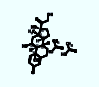 CC(=O)O.CC(=O)O.C[C@]12C=CC(=O)C=C1CC[C@@H]1[C@@H]2[C@@H](O)C[C@@]2(C)[C@H]1CC[C@]2(O)C(=O)CO